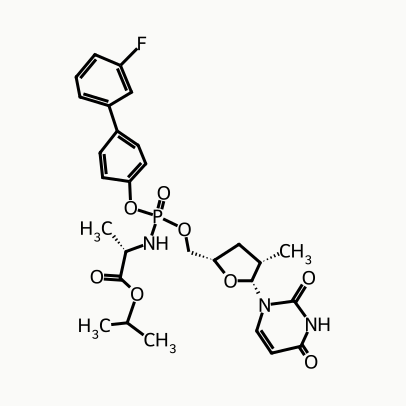 CC(C)OC(=O)[C@H](C)NP(=O)(OC[C@@H]1C[C@H](C)[C@H](n2ccc(=O)[nH]c2=O)O1)Oc1ccc(-c2cccc(F)c2)cc1